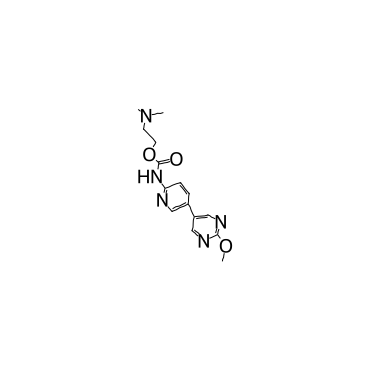 COc1ncc(-c2ccc(NC(=O)OCCN(C)C)nc2)cn1